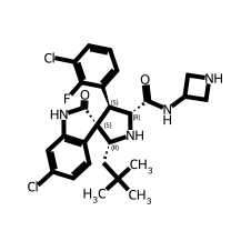 CC(C)(C)C[C@H]1N[C@@H](C(=O)NC2CNC2)[C@H](c2cccc(Cl)c2F)[C@@]12C(=O)Nc1cc(Cl)ccc12